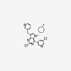 C[C@H]1CC[C@H](Cn2cc(Cc3cccnc3)c3nc(Cl)nc(-c4cncc(Cl)c4)c32)CC1